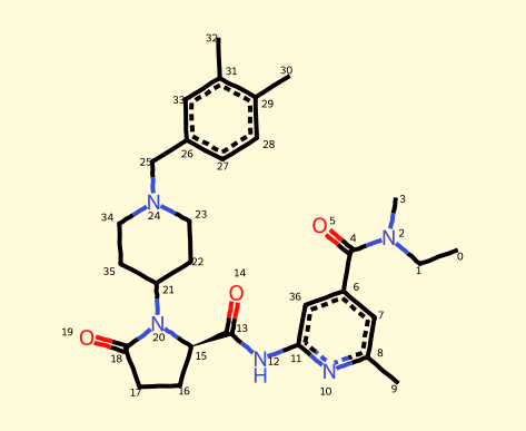 CCN(C)C(=O)c1cc(C)nc(NC(=O)[C@H]2CCC(=O)N2C2CCN(Cc3ccc(C)c(C)c3)CC2)c1